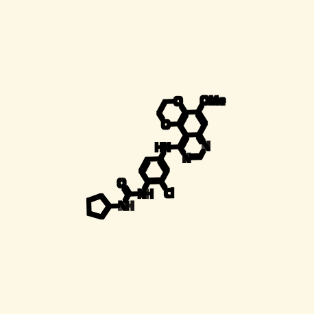 COc1cc2ncnc(Nc3ccc(NC(=O)NC4CCCC4)c(Cl)c3)c2c2c1OCCO2